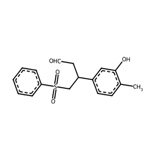 Cc1ccc(C(CC=O)CS(=O)(=O)c2ccccc2)cc1O